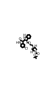 CC(C)(C)OC(=O)N1C[C@@H]2C[C@H]1CN2CCO/N=C1/C(=C2/C(=O)Nc3ccc(Cl)cc32)Nc2ccccc21